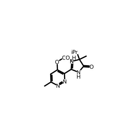 Cc1cc(OC(=O)O)c(C2=NC(C)(C(C)C)C(=O)N2)nn1